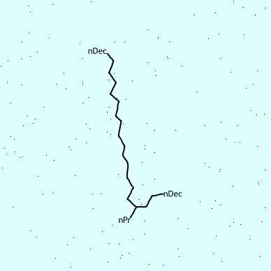 [CH2]CCC(CCCCCCCCCCCC)CCCCCCCCCCCCCCCCCCCCCCCC